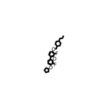 CCCC1CCC(COc2ccc3c(oc4c(F)c(OC5CCCC5)ccc43)c2F)CC1